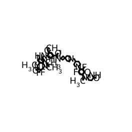 COc1cc(C(=O)NC2CC3(CCN(CC4CCN(c5c(F)cc(N(C)C6CCC(=O)NC6=O)cc5F)CC4)CC3)C2)ccc1Nc1ncc2c(n1)N(C(C)C)CC(F)(F)C(=O)N2C